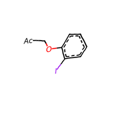 CC(=O)COc1ccccc1I